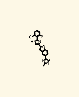 Cc1noc(-c2ccc3oc(-c4c[nH]c(-c5c(F)cccc5Cl)n4)cc3c2)n1